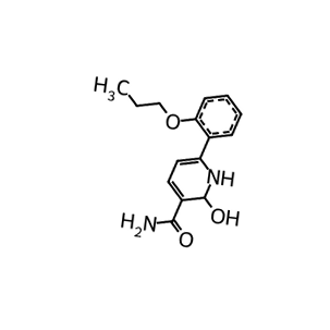 CCCOc1ccccc1C1=CC=C(C(N)=O)C(O)N1